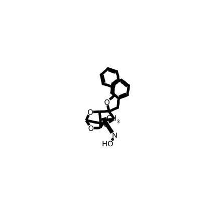 CC1C2OC3OC(/C2=N/O)C(Cc2ccccc2)(OCc2ccccc2)C1O3